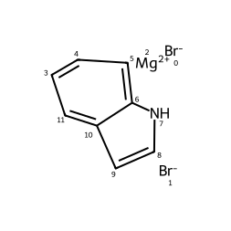 [Br-].[Br-].[Mg+2].c1ccc2[nH]ccc2c1